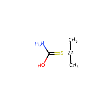 NC(O)=S.[CH3][Zn][CH3]